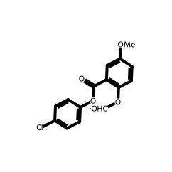 COc1ccc(O[C]=O)c(C(=O)Oc2ccc(Cl)cc2)c1